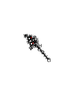 C[Si]1(C)c2cc(N3CCC3)ccc2C2(C(=[N+]=[N-])C(=O)c3c(F)c(F)c(C(=O)NCCOCCOCCCCCCCl)c(F)c32)c2ccc(N3CCC3)cc21